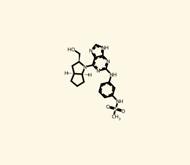 CS(=O)(=O)Nc1cccc(Nc2nc(N3[C@H](CO)C[C@@H]4CCC[C@@H]43)c3nc[nH]c3n2)c1